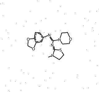 CN1CCSC1=NC(=Nc1ccc2c(c1)OCO2)N1CCOCC1